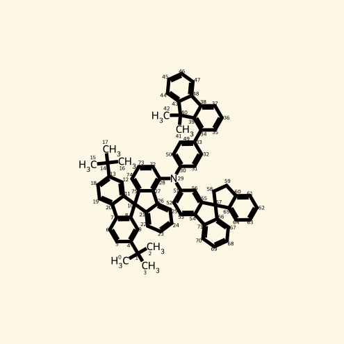 CC(C)(C)c1ccc2c(c1)C1(c3cc(C(C)(C)C)ccc3-2)c2ccccc2-c2c(N(c3ccc(-c4cccc5c4C(C)(C)c4ccccc4-5)cc3)c3ccc4c(c3)C3(CCc5ccccc53)c3ccccc3-4)cccc21